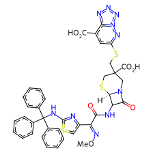 CON=C(C(=O)NC1C(=O)N2CC(CSc3cc(C(=O)O)c4nnnn4n3)(C(=O)O)CS[C@H]12)c1csc(NC(c2ccccc2)(c2ccccc2)c2ccccc2)n1